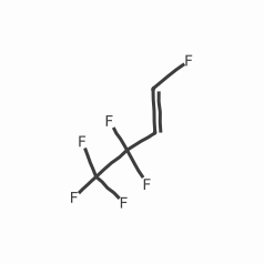 FC=CC(F)(F)C(F)(F)F